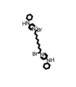 BrC(CCCCCCCCC(Br)[n+]1ccc(NC2CCCCC2)cc1)[n+]1ccc(NC2CCCCC2)cc1